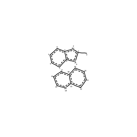 Cc1nc2ccccc2s1.c1ccc2ncccc2c1